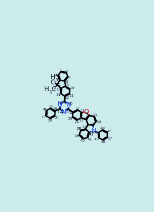 CC1(C)c2ccccc2-c2ccc(-c3nc(-c4ccccc4)nc(-c4ccc5c6c(oc5c4)C=CC4C6c5ccccc5N4c4ccccc4)n3)cc21